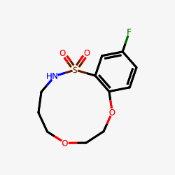 O=S1(=O)NCCCOCCOc2ccc(F)cc21